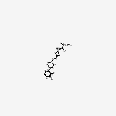 COC(C)C(=O)NC1CC(CCN2CCN(c3cccc(Cl)c3Cl)CC2)C1